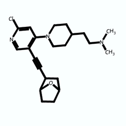 CN(C)CCC1CCN(c2cc(Cl)ncc2C#CC2CC3CCC2O3)CC1